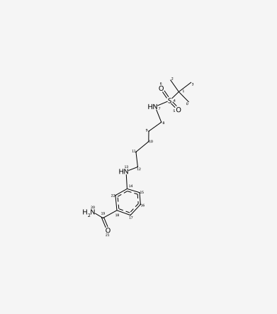 CC(C)(C)S(=O)(=O)NCCCCCNc1cccc(C(N)=O)c1